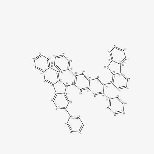 c1ccc(-c2ccc3c4cc5ccccc5cc4n(-c4nc5cc(-c6ccccc6)c(-c6cccc7c6sc6ccccc67)cc5nc4-c4ccccc4)c3c2)cc1